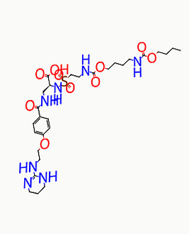 CCCCOC(=O)NCCCCOC(=O)NCCS(=O)(=O)N[C@@H](CNC(=O)c1ccc(OCCNC2=NCCCN2)cc1)C(=O)O